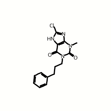 Cn1c(=O)n(CCCc2ccccc2)c(=O)c2[nH]c(Cl)nc21